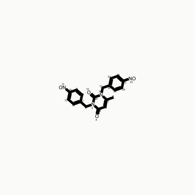 Cc1cc(=O)n(Cc2ccc(N=O)cc2)c(=O)n1Cc1ccc(N=O)cc1